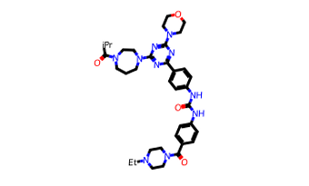 CCN1CCN(C(=O)c2ccc(NC(=O)Nc3ccc(-c4nc(N5CCOCC5)nc(N5CCCN(C(=O)C(C)C)CC5)n4)cc3)cc2)CC1